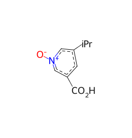 CC(C)c1cc(C(=O)O)c[n+]([O-])c1